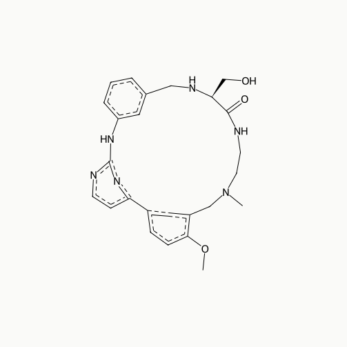 COc1ccc2cc1CN(C)CCNC(=O)[C@H](CO)NCc1cccc(c1)Nc1nccc-2n1